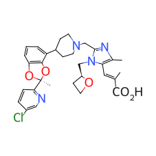 C/C(=C\c1c(C)nc(CN2CCC(c3cccc4c3O[C@@](C)(c3ccc(Cl)cn3)O4)CC2)n1C[C@@H]1CCO1)C(=O)O